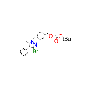 Cc1c(-c2ccccc2)c(Br)nn1C[C@H]1CC[C@H](COCC(=O)OC(C)(C)C)CC1